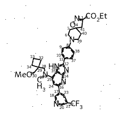 CCOC(=O)C1=NOC2(CCN(c3ccc(-c4nc5nc(-c6cncc(C(F)(F)F)c6)cc(N(C)CC6(COC)CCC6)c5[nH]4)cc3)CC2)C1